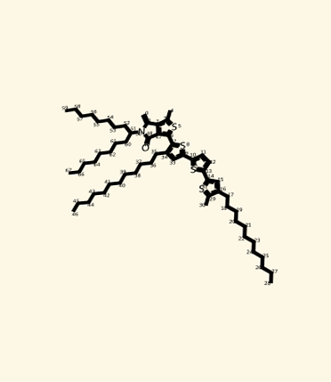 C=C1c2c(C)sc(-c3sc(-c4ccc(-c5cc(CCCCCCCCCCCC)c(C)s5)s4)cc3CCCCCCCCCCCC)c2C(=O)N1C(CCCCCCCC)CCCCCCCC